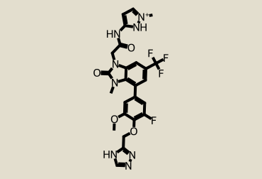 COc1cc(-c2cc(C(F)(F)F)cc3c2n(C)c(=O)n3CC(=O)Nc2cc[n+](C)[nH]2)cc(F)c1OCc1nnc[nH]1